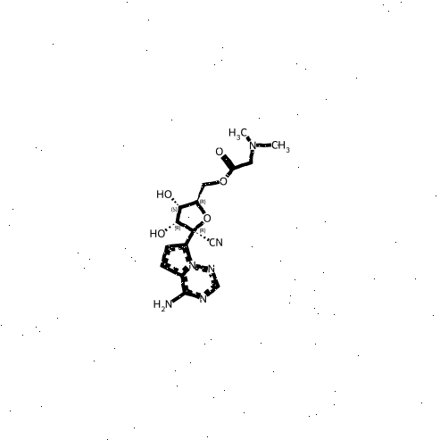 CN(C)CC(=O)OC[C@H]1O[C@@](C#N)(c2ccc3c(N)ncnn23)[C@H](O)[C@@H]1O